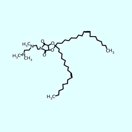 CCCCCCC/C=C\CCCCCCCCC1(CCCCCCCC/C=C\CCCCCCC)OC2C(=O)N(CCN(C)CCN(C)C)C(=O)C2O1